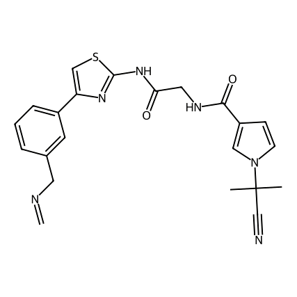 C=NCc1cccc(-c2csc(NC(=O)CNC(=O)c3ccn(C(C)(C)C#N)c3)n2)c1